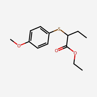 CCOC(=O)C(CC)Sc1ccc(OC)cc1